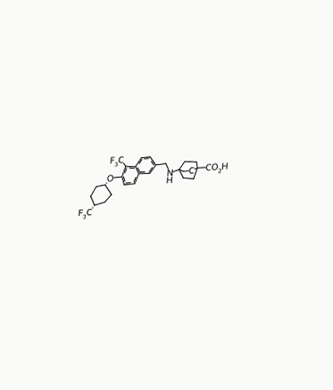 O=C(O)C12CCC(NCc3ccc4c(C(F)(F)F)c(O[C@H]5CC[C@@H](C(F)(F)F)CC5)ccc4c3)(CC1)CC2